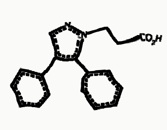 O=C(O)CCn1ncc(-c2ccccc2)c1-c1ccccc1